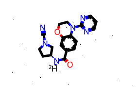 [2H]N(C(=O)c1ccc2c(c1)OCCN2c1ncccn1)[C@@H]1CCN(C#N)C1